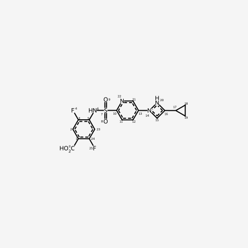 O=C(O)c1cc(F)c(NS(=O)(=O)c2ccc(-n3cc(C4CC4)[nH]3)cn2)cc1F